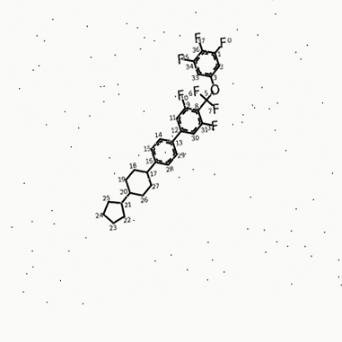 Fc1cc(OC(F)(F)c2c(F)cc(-c3ccc(C4CCC(C5CCCC5)CC4)cc3)cc2F)cc(F)c1F